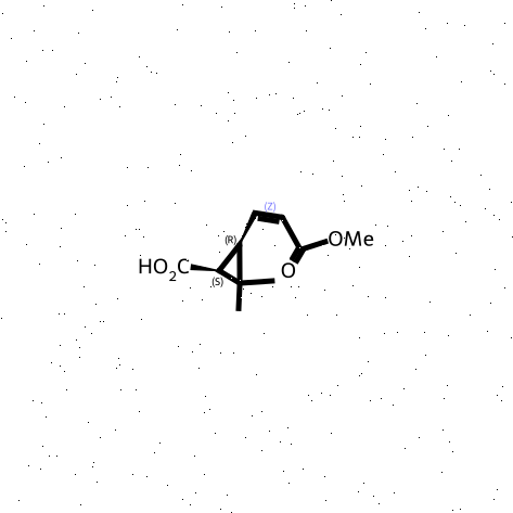 COC(=O)/C=C\[C@@H]1[C@H](C(=O)O)C1(C)C